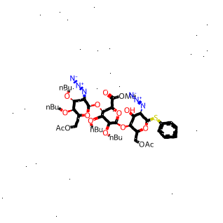 CCCCOC1C(OCCCC)[C@H](O[C@H]2OC(COC(C)=O)[C@@H](OCCCC)[C@H](OCCCC)C2N=[N+]=[N-])C(C(=O)OC)O[C@H]1O[C@@H]1C(COC(C)=O)OC(Sc2ccccc2)[C@@H](N=[N+]=[N-])C1O